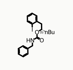 CCCC[C@@H](Cc1ccccc1I)OC(=O)NCc1ccccc1